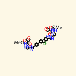 COC(=O)NC(C(=O)N1CCC[C@H]1c1ncc(-c2ccc3c(c2)C(F)(F)c2cc(-c4ccc(-c5cnc([C@@H]6CCCN6C(=O)[C@H](NC(=O)OC)C6CCOCC6)[nH]5)cc4)ccc2-3)[nH]1)C1CCOCC1